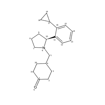 O=C1CCC(CN2CCC[C@H]2c2ccccc2C2CC2)CC1